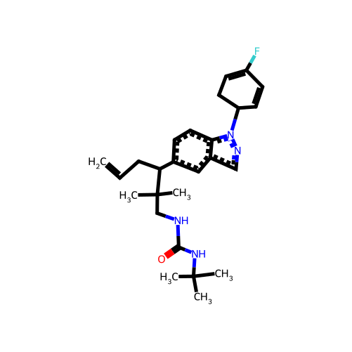 C=CCC(c1ccc2c(cnn2C2C=CC(F)=CC2)c1)C(C)(C)CNC(=O)NC(C)(C)C